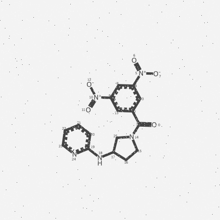 O=C(c1cc([N+](=O)[O-])cc([N+](=O)[O-])c1)N1CCC(Nc2ccccn2)C1